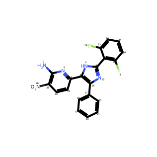 Nc1nc(-c2[nH]c(-c3c(F)cccc3F)nc2-c2ccccc2)ccc1[N+](=O)[O-]